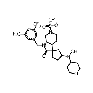 CN(C1CCOCC1)C1CCC(C(=O)NCc2cc(C(F)(F)F)cc(C(F)(F)F)c2)(C2CCN(S(C)(=O)=O)CC2)C1